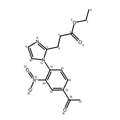 CCOC(=O)CCc1nccn1-c1ccc(C(C)=O)cc1[N+](=O)[O-]